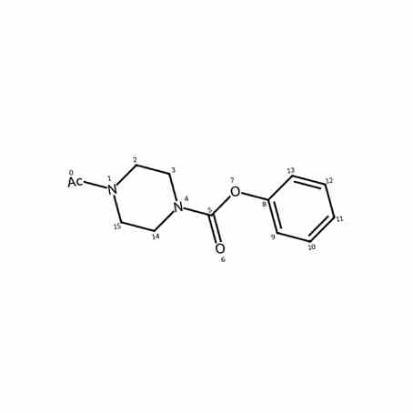 CC(=O)N1CCN(C(=O)Oc2ccccc2)CC1